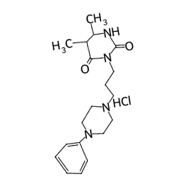 CC1NC(=O)N(CCCN2CCN(c3ccccc3)CC2)C(=O)C1C.Cl